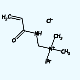 C=CC(=O)NC[N+](C)(C)C(C)C.[Cl-]